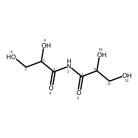 O=C(NC(=O)C(O)CO)C(O)CO